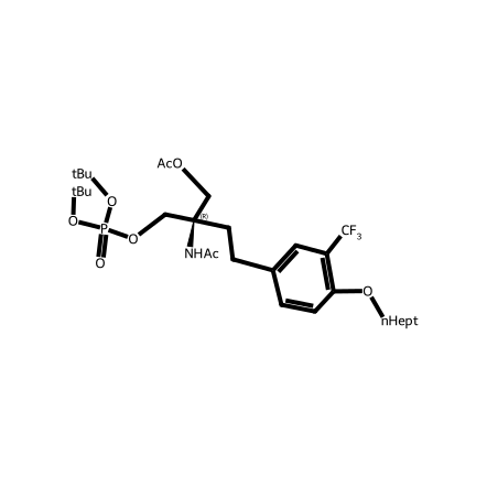 CCCCCCCOc1ccc(CC[C@@](COC(C)=O)(COP(=O)(OC(C)(C)C)OC(C)(C)C)NC(C)=O)cc1C(F)(F)F